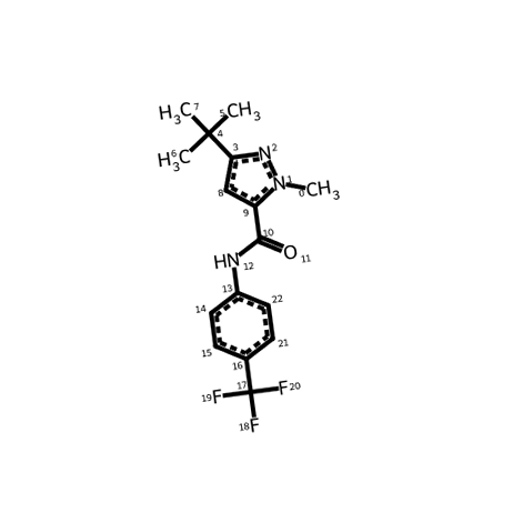 Cn1nc(C(C)(C)C)cc1C(=O)Nc1ccc(C(F)(F)F)cc1